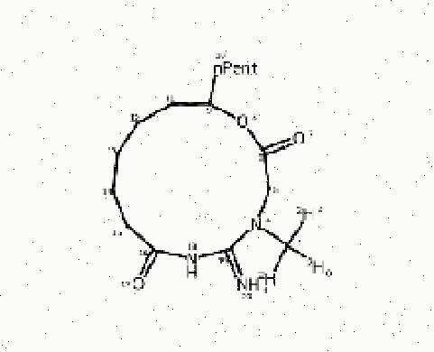 [2H]C([2H])([2H])N1CC(=O)OC(CCCCC)CCCCCC(=O)NC1=N